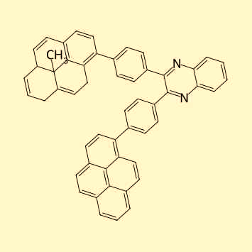 CC12C3=CCc4c(-c5ccc(-c6nc7ccccc7nc6-c6ccc(-c7ccc8ccc9cccc%10ccc7c8c9%10)cc6)cc5)ccc(c41)C=CC2C=CC3